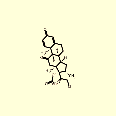 CCCC(=O)O[C@@]1(C(=O)CCl)[C@@H](C)C[C@H]2[C@@H]3CCC4=CC(=O)C=C[C@]4(C)[C@@]3(F)C(=O)C[C@@]21C